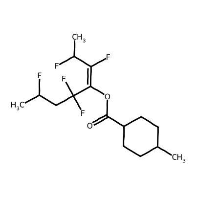 CC(F)CC(F)(F)/C(OC(=O)C1CCC(C)CC1)=C(/F)C(C)F